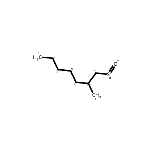 CCCCCC(C)C[S+]=O